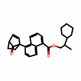 CC(COC(=O)c1cccc2c(C34C=CC(CC3)C4=O)cccc12)C1CCCCC1